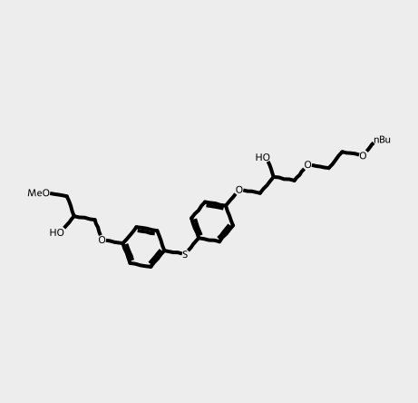 CCCCOCCOCC(O)COc1ccc(Sc2ccc(OCC(O)COC)cc2)cc1